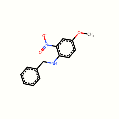 COc1ccc(NCc2ccccc2)c([N+](=O)[O-])c1